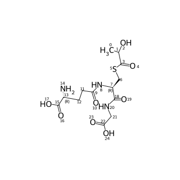 CC(O)C(=O)SC[C@H](NC(=O)CC[C@@H](N)C(=O)O)C(=O)NCC(=O)O